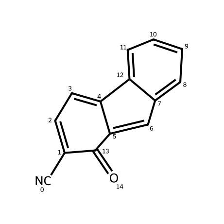 N#CC1=CC=C2C(=Cc3ccccc32)C1=O